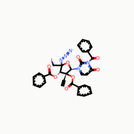 C#C[C@@]1(OC(=O)c2ccccc2)[C@H](OC(=O)c2ccccc2)C(CI)(N=[N+]=[N-])O[C@H]1n1ccc(=O)n(C(=O)c2ccccc2)c1=O